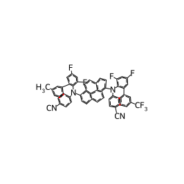 [C-]#[N+]c1ccc(N(c2c(F)cc(F)cc2-c2cccc(C)c2)c2ccc3ccc4c(N(c5ccc(C#N)cc5)c5c(F)cc(F)cc5-c5cccc(C(F)(F)F)c5)ccc5ccc2c3c54)cc1